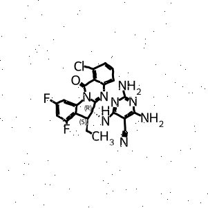 CC[C@H]1c2c(F)cc(F)cc2-n2c(nc3cccc(Cl)c3c2=O)[C@@H]1Nc1nc(N)nc(N)c1C#N